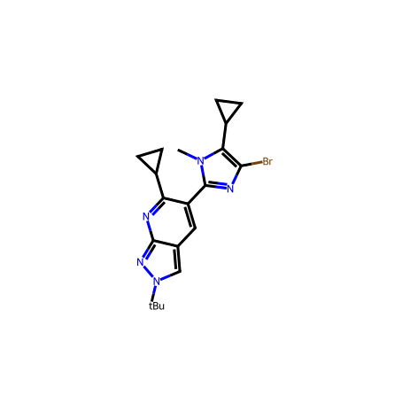 Cn1c(-c2cc3cn(C(C)(C)C)nc3nc2C2CC2)nc(Br)c1C1CC1